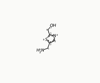 NCc1cnc(CO)s1